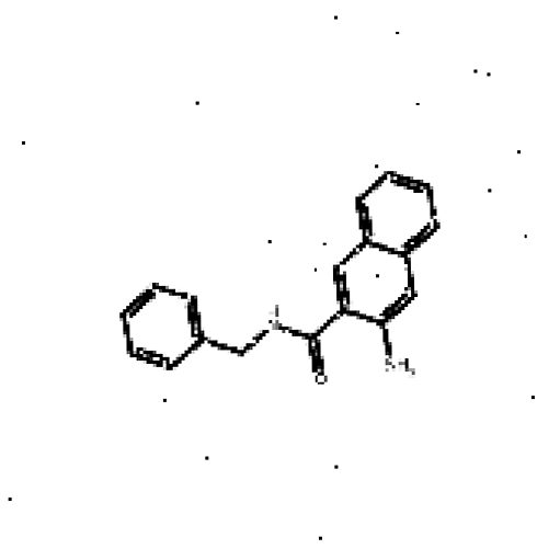 Nc1cc2ccccc2cc1C(=O)NCc1ccccc1